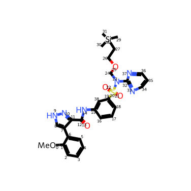 COc1ccccc1-c1c[nH]nc1C(=O)Nc1cccc(S(=O)(=O)N(COCC[Si](C)(C)C)c2ncccn2)c1